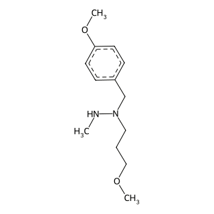 CNN(CCCOC)Cc1ccc(OC)cc1